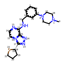 CN1CCN(c2cccc(CNc3nccn4c([C@@H]5CCCS5)nnc34)c2)CC1